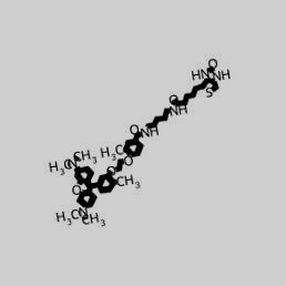 Cc1cc(C(=O)NCCCCCNC(=O)CCCCC2SCC3NC(=O)NC32)ccc1OCCOc1cc(-c2c3ccc(=[N+](C)C)cc-3oc3cc(N(C)C)ccc23)ccc1C